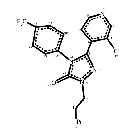 CC(C)CCn1nc(-c2ccncc2Cl)n(-c2ccc(C(F)(F)F)cc2)c1=O